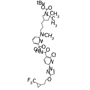 CN(CCCC1CN(C(=O)OC(C)(C)C)C(C)(C)C1)c1cccc(S(=O)(=O)NC(=O)c2ccc(-n3ccc(OCCC4CC4C(F)(F)F)n3)nc2Cl)n1